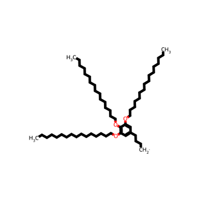 [CH2]CCCc1cc(OCCCCCCCCCCCCCCCC)c(OCCCCCCCCCCCCCCCC)c(OCCCCCCCCCCCCCCCC)c1